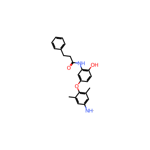 Cc1cc([NH])cc(C)c1Oc1ccc(O)c(NC(=O)CCc2ccccc2)c1